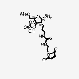 B[C@@H]1O[C@H](COC)C(OP(O)(=S)OC)[C@@H]1CCCNC(=S)NCCN1C(=O)C=CC1=O